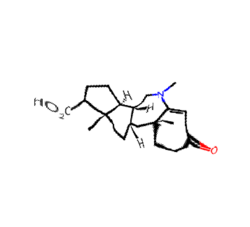 CN1C[C@@H]2[C@@H](CC[C@]3(C)C(C(=O)O)CC[C@@H]23)[C@@]2(C)CCC(=O)C=C12